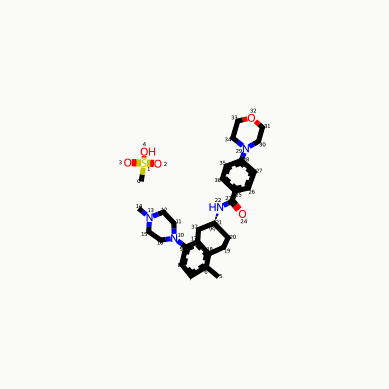 CS(=O)(=O)O.Cc1ccc(N2CCN(C)CC2)c2c1CC[C@@H](NC(=O)c1ccc(N3CCOCC3)cc1)C2